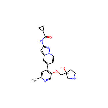 Cc1cc(-c2ccn3nc(NC(=O)C4CC4)cc3c2)c(OC[C@]2(O)CCNC2)cn1